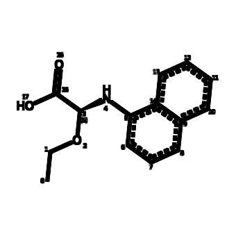 CCO[C@H](Nc1cccc2ccccc12)C(=O)O